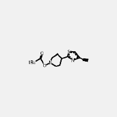 C#Cc1csc(C2CCN(OC(=O)C(C)(C)C)CC2)n1